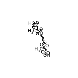 CC(CS(=O)(=O)O)S(=O)(=O)OCCCOS(=O)(=O)C(C)CS(=O)(=O)O